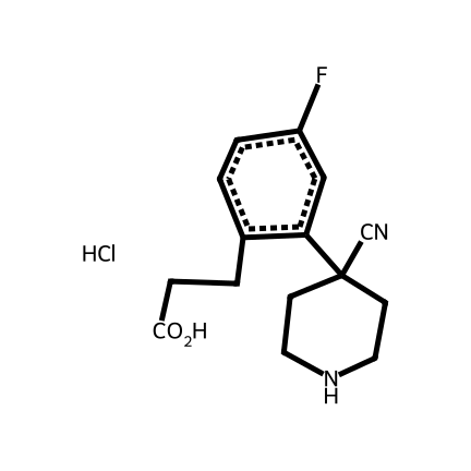 Cl.N#CC1(c2cc(F)ccc2CCC(=O)O)CCNCC1